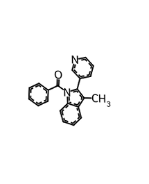 Cc1c(-c2cccnc2)n(C(=O)c2ccccc2)c2ccccc12